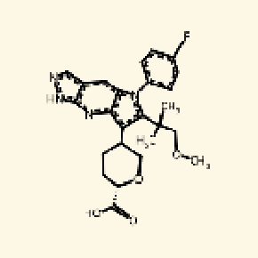 COCC(C)(C)c1c([C@@H]2CC[C@@H](C(=O)O)OC2)c2nc3[nH]ncc3cc2n1-c1ccc(F)cc1